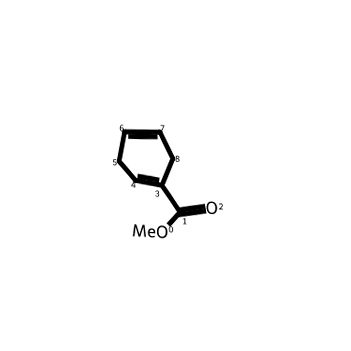 COC(=O)C1=CCC=CC1